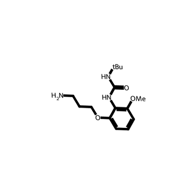 COc1cccc(OCCCN)c1NC(=O)NC(C)(C)C